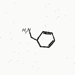 NCC1C=CC=CC1